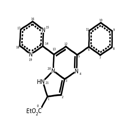 CCOC(=O)C1C=C2N=C(c3ccccc3)C=C(c3ncccn3)N2N1